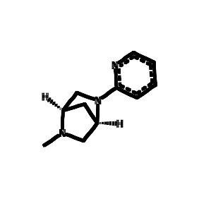 CN1C[C@H]2C[C@@H]1CN2c1ccccn1